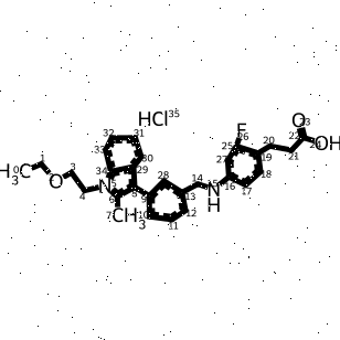 CCOCCn1c(C)c(-c2cccc(CNc3ccc(CCC(=O)O)c(F)c3)c2)c2ccccc21.Cl